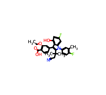 CCOc1cc(-c2c(C(C)(C)CC#N)n(-c3ccc(F)c(C)c3)c3cc(F)cc(O)c23)ccc1C(=O)O